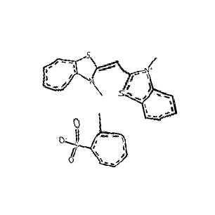 CN1C(=Cc2sc3ccccc3[n+]2C)Sc2ccccc21.Cc1ccccc1S(=O)(=O)[O-]